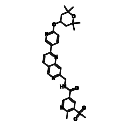 Cc1ncc(C(=O)NCc2cc3nc(-c4ccc(OC5CC(C)(C)OC(C)(C)C5)nc4)ccc3cn2)cc1S(C)(=O)=O